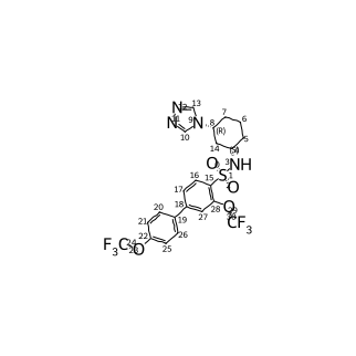 O=S(=O)(N[C@H]1CCC[C@@H](n2cnnc2)C1)c1ccc(-c2ccc(OC(F)(F)F)cc2)cc1OC(F)(F)F